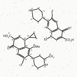 CCn1cc(C(=O)O)c(=O)c2cc(F)c(N3CCNCC3)nc21.COc1c(N2CCNC(C)C2)c(F)cc2c(=O)c(C(=O)O)cn(C3CC3)c12